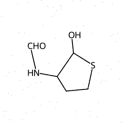 O=CNC1CCSC1O